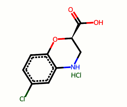 Cl.O=C(O)[C@H]1CNc2cc(Cl)ccc2O1